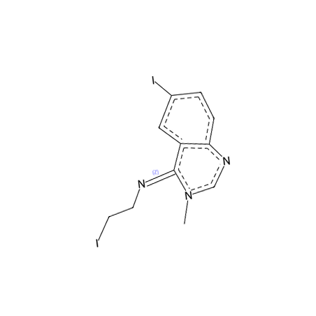 Cn1cnc2ccc(I)cc2/c1=N/CCI